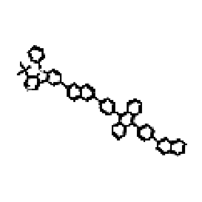 CC(C)(C)c1cncc2c3cc(-c4ccc5cc(-c6ccc(-c7c8ccccc8c(-c8ccc(-c9ccc%10ccccc%10c9)cc8)c8ccccc78)cc6)ccc5c4)ccc3n(-c3ccccc3)c12